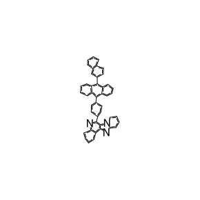 c1ccc2cc(-c3c4ccccc4c(-c4ccc(-c5nc6ccccc6c6nc7ccccn7c56)cc4)c4ccccc34)ccc2c1